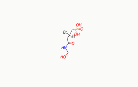 CCC(CC)(CC(=O)NCO)CP(=O)(O)O